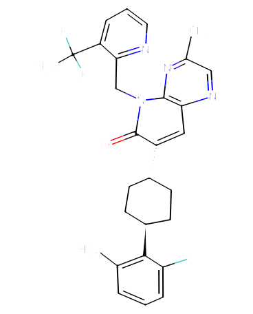 Cc1cnc2cc([C@H]3CC[C@H](c4c(C)cccc4F)CC3)c(=O)n(Cc3ncccc3C(C)(F)F)c2n1